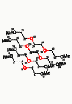 COCCOCCOC.COCCOCCOC.COCCOCCOCCOC.COCCOCCOCCOC